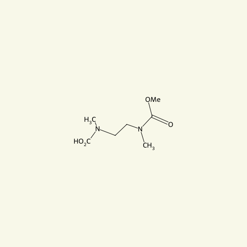 COC(=O)N(C)CCN(C)C(=O)O